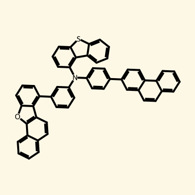 c1cc(-c2cccc3oc4c5ccccc5ccc4c23)cc(N(c2ccc(-c3ccc4c(ccc5ccccc54)c3)cc2)c2cccc3sc4ccccc4c23)c1